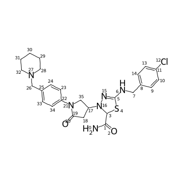 NC(=O)C1SC(NCc2ccc(Cl)cc2)=NN1C1CC(=O)N(c2ccc(CN3CCCCC3)cc2)C1